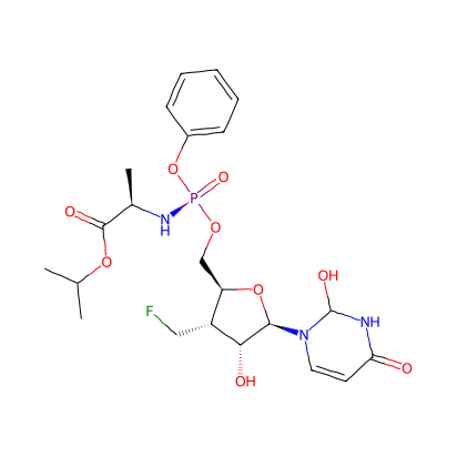 CC(C)OC(=O)[C@@H](C)N[P@@](=O)(OC[C@H]1O[C@@H](N2C=CC(=O)NC2O)[C@H](O)[C@@H]1CF)Oc1ccccc1